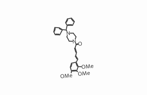 COc1ccc(/C=C/C=C/C(=O)N2CCN(C(c3ccccc3)c3ccccc3)CC2)c(OC)c1OC